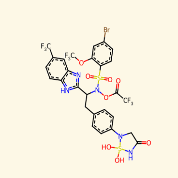 O=C1CN(c2ccc(CC(c3nc4cc(C(F)(F)F)ccc4[nH]3)N(OC(=O)C(F)(F)F)S(=O)(=O)c3ccc(Br)cc3OC(F)(F)F)cc2)S(O)(O)N1